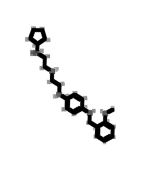 COc1ccccc1COc1ccc(OCCOCCNC2CCCC2)cc1